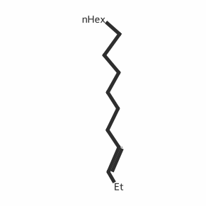 CCC=[C]CCCCCCCCCCCC